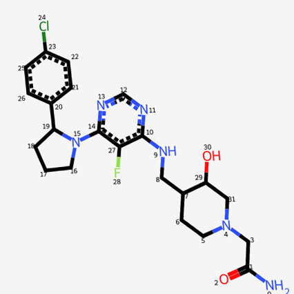 NC(=O)CN1CCC(CNc2ncnc(N3CCCC3c3ccc(Cl)cc3)c2F)C(O)C1